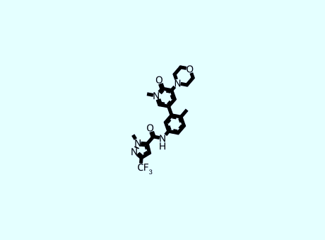 Cc1ccc(NC(=O)c2cc(C(F)(F)F)nn2C)cc1-c1cc(N2CCOCC2)c(=O)n(C)c1